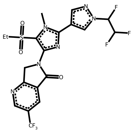 CCS(=O)(=O)c1c(N2Cc3ncc(C(F)(F)F)cc3C2=O)nc(-c2cnn(C(F)C(F)F)c2)n1C